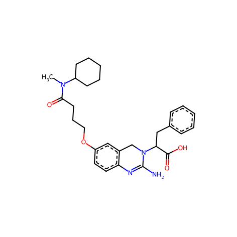 CN(C(=O)CCCOc1ccc2c(c1)CN(C(Cc1ccccc1)C(=O)O)C(N)=N2)C1CCCCC1